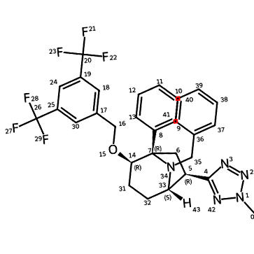 Cn1nnc([C@@H]2C[C@@]3(c4ccccc4)[C@H](OCc4cc(C(F)(F)F)cc(C(F)(F)F)c4)CC[C@@H]2N3Cc2ccccc2)n1